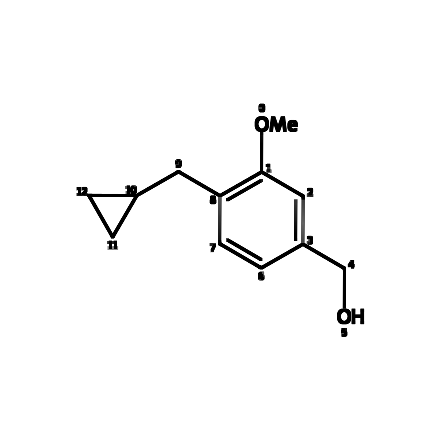 COc1cc(CO)ccc1CC1CC1